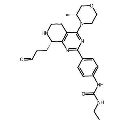 CCNC(=O)Nc1ccc(-c2nc3c(c(N4CCOC[C@H]4C)n2)CCN[C@H]3CCC=O)cc1